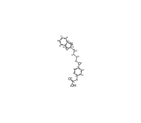 O=C(O)Cc1ccc(OCCCSc2nc3ccccc3o2)cc1